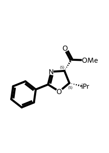 COC(=O)[C@H]1N=C(c2ccccc2)O[C@H]1C(C)C